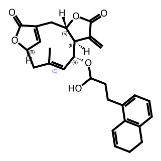 C=C1C(=O)O[C@H]2CC3=C[C@@H](C/C(C)=C/[C@@H](OC(O)CCc4cccc5c4C=CCC5)[C@H]12)OC3=O